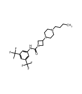 CCCCN1CCN(C2CN(C(=O)Nc3cc(C(F)(F)F)cc(C(F)(F)F)c3)C2)CC1